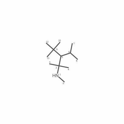 CNC(C)(C)C(C(C)C)C(C)(C)C